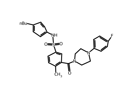 CCCCc1ccc(NS(=O)(=O)c2ccc(C)c(C(=O)N3CCN(c4ccc(F)cc4)CC3)c2)cc1